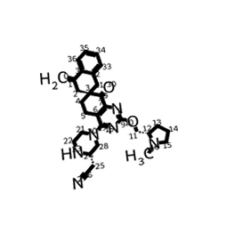 C=C1C[C@@]2(CCc3c(nc(OC[C@@H]4CCCN4C)nc3N3CCN[C@@H](CC#N)C3)C2=O)Cc2ccccc21